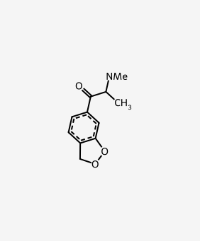 CNC(C)C(=O)c1ccc2c(c1)OOC2